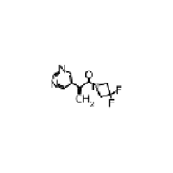 C=C(C(=O)N1CC(F)(F)C1)c1cncnc1